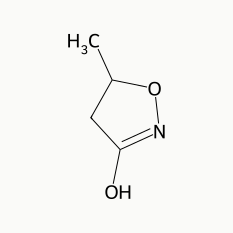 CC1CC(O)=NO1